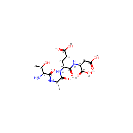 C[C@H](NC(=O)[C@@H](N)[C@@H](C)O)C(=O)N[C@@H](CCC(=O)O)C(=O)N[C@@H](CC(=O)O)C(=O)O